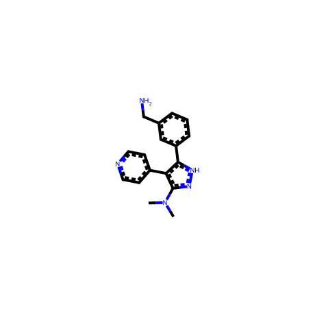 CN(C)c1n[nH]c(-c2cccc(CN)c2)c1-c1ccncc1